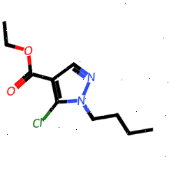 CCCCn1ncc(C(=O)OCC)c1Cl